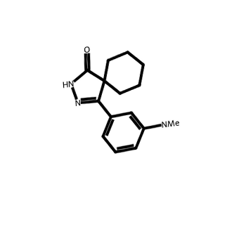 CNc1cccc(C2=NNC(=O)C23CCCCC3)c1